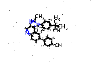 Cc1nc2cnc3ccc(-c4ccc(C#N)cc4)cc3c2n1-c1ccc(C(C)(C)C#N)cc1